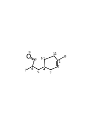 CC1=CCC(CC(C)C=O)CC1